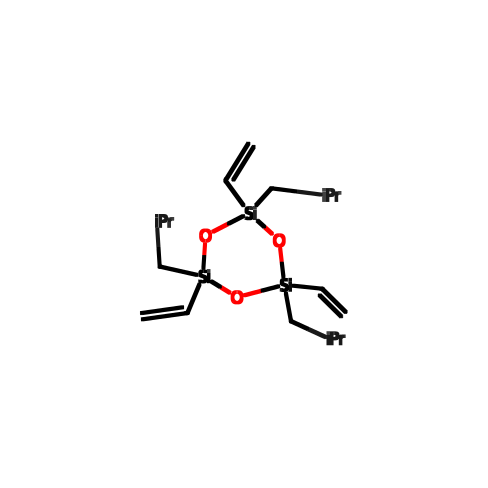 C=C[Si]1(CC(C)C)O[Si](C=C)(CC(C)C)O[Si](C=C)(CC(C)C)O1